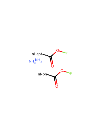 CCCCCCCC(=O)OF.CCCCCCCCCC(=O)OF.N.N